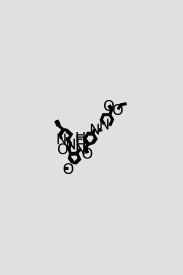 C#Cc1ccc(NC(=O)c2cc(OC)ccc2NC(=O)c2ccc(N=CN3CCC(C(=O)OCC)CC3)cc2F)nc1